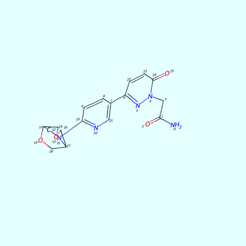 NC(=O)Cn1nc(-c2ccc(N3CC4COCC3CO4)nc2)ccc1=O